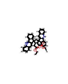 CCOC(=O)CCC1(CC2(CCC(=O)OCC)c3ccccc3-c3nc4ccccc4cc32)c2ccccc2-c2nc3ccccc3cc21